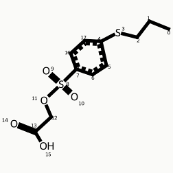 CCCSc1ccc(S(=O)(=O)OCC(=O)O)cc1